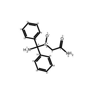 NC(=O)C[S+]([O-])C(N)(c1ccccc1)c1ccccc1